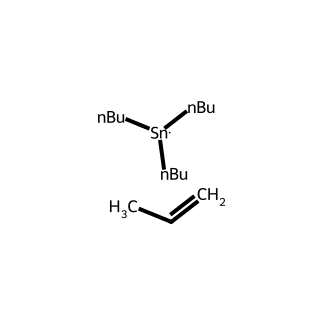 C=CC.CCC[CH2][Sn]([CH2]CCC)[CH2]CCC